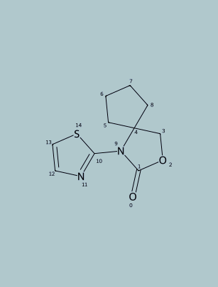 O=C1OCC2(CCCC2)N1c1nccs1